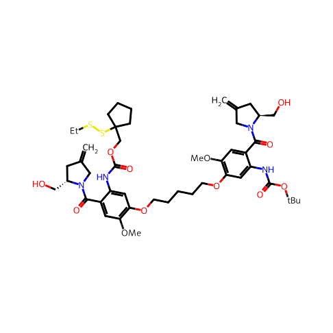 C=C1C[C@@H](CO)N(C(=O)c2cc(OC)c(OCCCCCOc3cc(NC(=O)OC(C)(C)C)c(C(=O)N4CC(=C)C[C@H]4CO)cc3OC)cc2NC(=O)OCC2(SSCC)CCCC2)C1